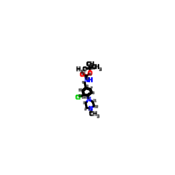 CN1CCN(c2ccc(CNC(=O)OC(C)(C)C)cc2Cl)CC1